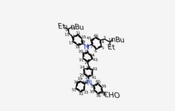 CCCCC(CC)Cc1ccc(N(c2ccc(CC(CC)CCCC)cc2)c2ccc(-c3ccc(N(c4ccccc4)c4ccc(C=O)cc4)cc3)cc2)cc1